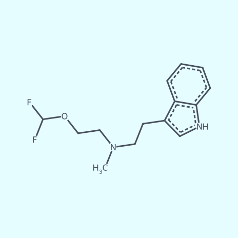 CN(CCOC(F)F)CCc1c[nH]c2ccccc12